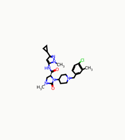 Cc1cc(CN2CCC(N3C(=O)N(C)C[C@H]3C(=O)Nc3cc(C4CC4)nn3C)CC2)ccc1Cl